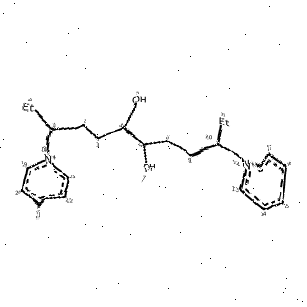 CCC(CCC(O)C(O)CCC(CC)[n+]1ccccc1)[n+]1ccccc1